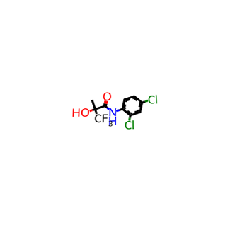 CC(O)(C(=O)Nc1ccc(Cl)cc1Cl)C(F)(F)F